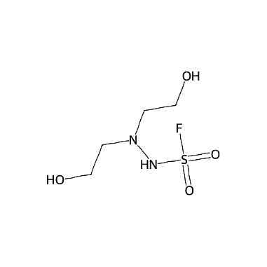 O=S(=O)(F)NN(CCO)CCO